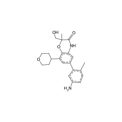 Cc1ccc(N)cc1-c1cc2c(c(C3CCOCC3)c1)OC(C)(CO)C(=O)N2